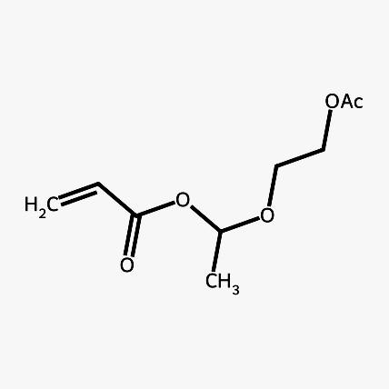 C=CC(=O)OC(C)OCCOC(C)=O